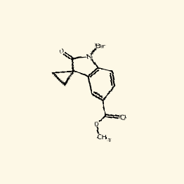 COC(=O)c1ccc2c(c1)C1(CC1)C(=O)N2Br